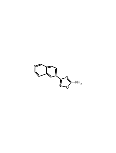 Nc1nc(-c2ccc3cnccc3c2)no1